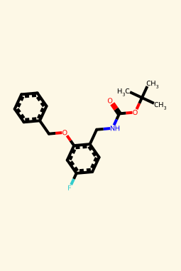 CC(C)(C)OC(=O)NCc1ccc(F)cc1OCc1ccccc1